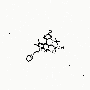 Cc1nc2c(c(C)c(C)n2CCN2CCCC2)c(-c2ccc(Cl)cc2OC(C)(C)C)c1CC(=O)O